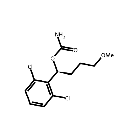 COCCC[C@H](OC(N)=O)c1c(Cl)cccc1Cl